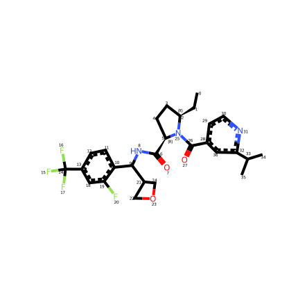 CC[C@@H]1CC[C@H](C(=O)NC(c2ccc(C(F)(F)F)cc2F)C2COC2)N1C(=O)c1ccnc(C(C)C)c1